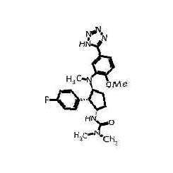 COc1ccc(-c2nnn[nH]2)cc1N(C)[C@H]1CC[C@H](NC(=O)N(C)C)[C@@H]1c1ccc(F)cc1